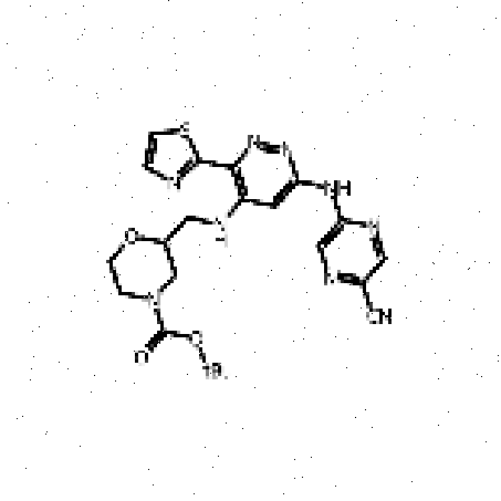 CC(C)(C)OC(=O)N1CCOC(CNc2cc(Nc3cnc(C#N)cn3)nnc2-c2nccs2)C1